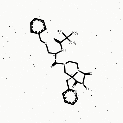 CN1C(=O)N2CCN(C(=O)[C@@H](COCc3ccccc3)NC(=O)C(C)(C)N)C[C@@]2(Cc2ccccn2)C1=O